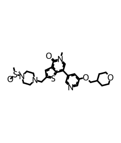 Cn1cc(-c2cncc(OCC3CCOCC3)c2)c2sc(CN3CCN([S+](C)[O-])CC3)cc2c1=O